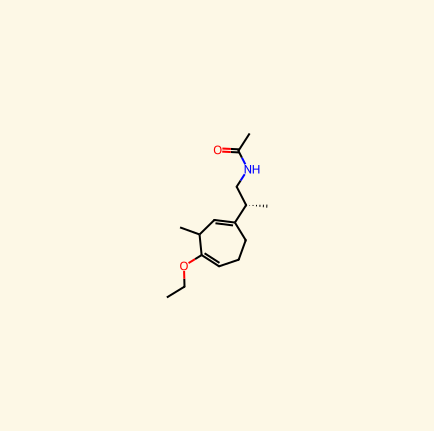 CCOC1=CCCC([C@@H](C)CNC(C)=O)=CC1C